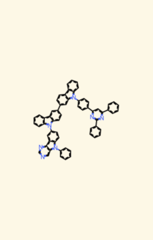 c1ccc(-c2cc(-c3ccc(-n4c5ccccc5c5ccc(-c6ccc7c(c6)c6ccccc6n7-c6ccc7c(c6)c6ncncc6n7-c6ccccc6)cc54)cc3)nc(-c3ccccc3)n2)cc1